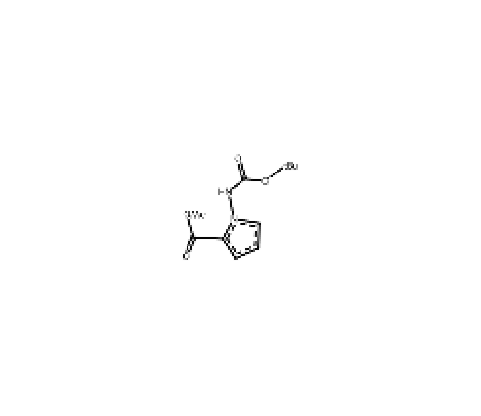 COC(=O)c1cccn1NC(=O)OC(C)(C)C